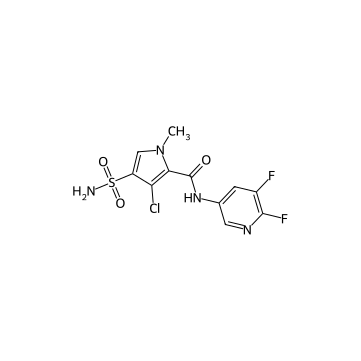 Cn1cc(S(N)(=O)=O)c(Cl)c1C(=O)Nc1cnc(F)c(F)c1